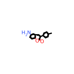 Cc1ccc(-c2cc3cc(N)ccc3oc2=O)cc1